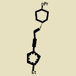 CCC[C@H]1CC[C@H](/C=C/C#Cc2ccc(CC)cc2)CC1